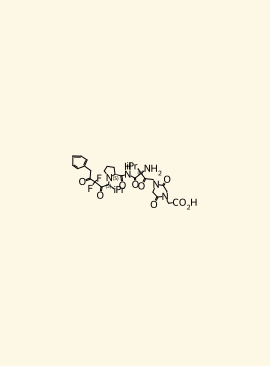 CC(C)[C@@H](C(=O)C(F)(F)C(=O)Cc1ccccc1)N1CCC[C@H]1C(=O)NC(=O)[C@](N)(C(=O)CN1CC(=O)N(CC(=O)O)CC1=O)C(C)C